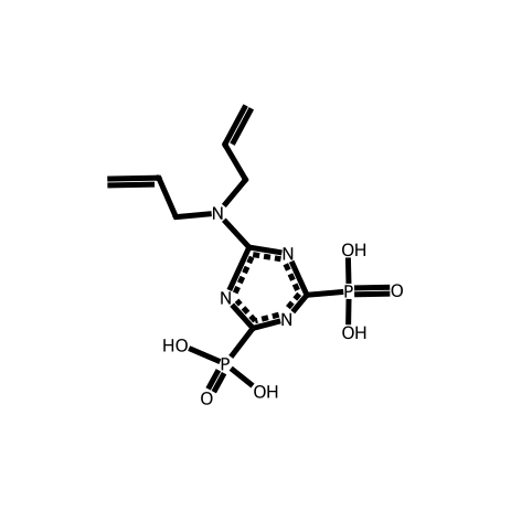 C=CCN(CC=C)c1nc(P(=O)(O)O)nc(P(=O)(O)O)n1